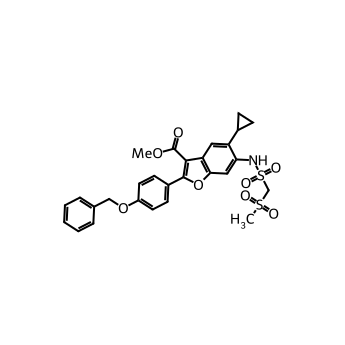 COC(=O)c1c(-c2ccc(OCc3ccccc3)cc2)oc2cc(NS(=O)(=O)CS(C)(=O)=O)c(C3CC3)cc12